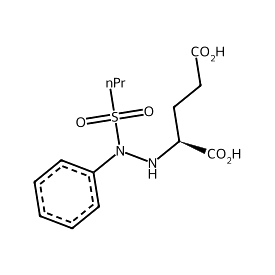 CCCS(=O)(=O)N(N[C@@H](CCC(=O)O)C(=O)O)c1ccccc1